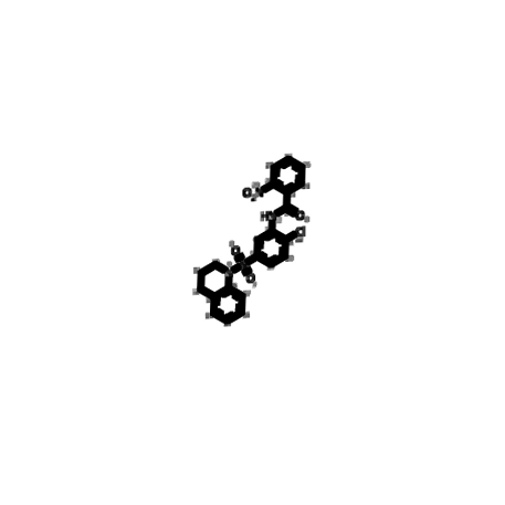 O=C(Nc1cc(S(=O)(=O)N2CCCc3ccccc32)ccc1Cl)c1ccccc1[N+](=O)[O-]